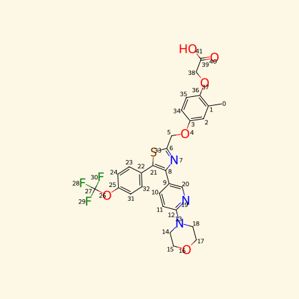 Cc1cc(OCc2nc(-c3ccc(N4CCOCC4)nc3)c(-c3ccc(OC(F)(F)F)cc3)s2)ccc1OCC(=O)O